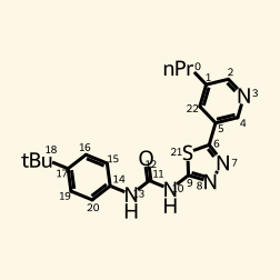 CCCc1cncc(-c2nnc(NC(=O)Nc3ccc(C(C)(C)C)cc3)s2)c1